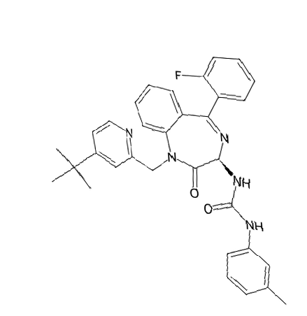 Cc1cccc(NC(=O)N[C@@H]2N=C(c3ccccc3F)c3ccccc3N(Cc3cc(C(C)(C)C)ccn3)C2=O)c1